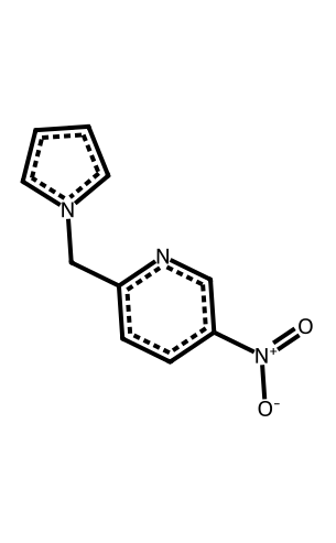 O=[N+]([O-])c1ccc(Cn2cccc2)nc1